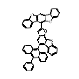 c1ccc(-c2c3ccccc3c(-c3cc4cc(-c5c6oc7ccccc7c6cc6oc7ccccc7c56)oc4c4sc5ccccc5c34)c3ccccc23)cc1